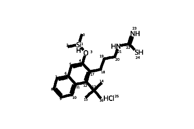 C[SiH](C)Oc1cc2ccccc2c(C(C)(C)C)c1CCCNC(=N)S.Cl